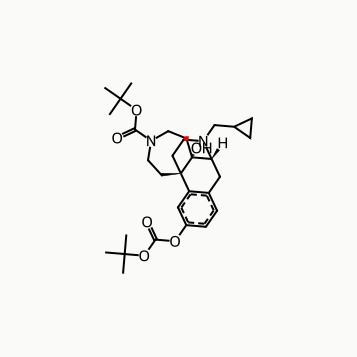 CC(C)(C)OC(=O)Oc1ccc2c(c1)[C@@]13CCN(C(=O)OC(C)(C)C)CC[C@@]1(O)[C@@H](C2)N(CC1CC1)CC3